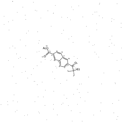 CCC(C)(C)C(=O)c1ccc2cc(C(=O)OC(C)=O)ccc2c1